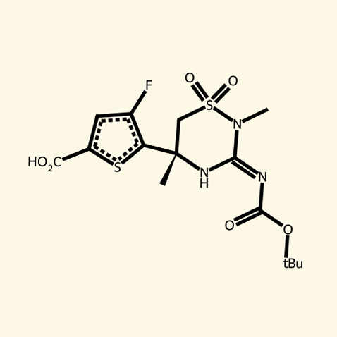 CN1/C(=N/C(=O)OC(C)(C)C)N[C@](C)(c2sc(C(=O)O)cc2F)CS1(=O)=O